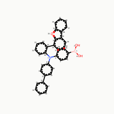 OB(O)c1ccc(N(c2ccc(-c3ccccc3)cc2)c2ccccc2-c2cccc3c2oc2ccccc23)cc1